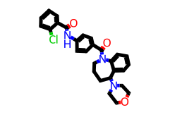 O=C(Nc1ccc(C(=O)N2CCCC(N3CCOCC3)c3ccccc32)cc1)c1ccccc1Cl